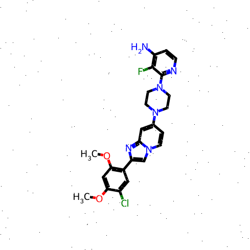 COc1cc(OC)c(-c2cn3ccc(N4CCN(c5nccc(N)c5F)CC4)cc3n2)cc1Cl